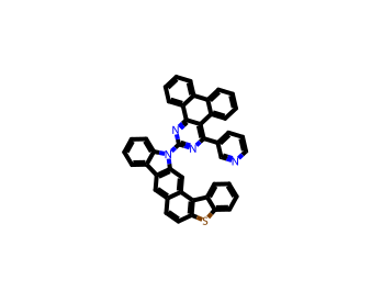 c1cncc(-c2nc(-n3c4ccccc4c4cc5ccc6sc7ccccc7c6c5cc43)nc3c4ccccc4c4ccccc4c23)c1